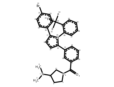 CN(C)C1CCN(C(=O)c2cccc(-c3ccc(-c4ccc(Br)cc4)n3-c3ccccc3C(F)(F)F)c2)C1